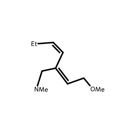 CC/C=C\C(=C/COC)CNC